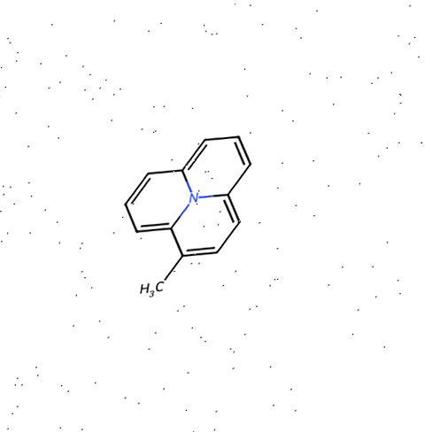 CC1=CC=C2C=CC=C3C=CC=C1N32